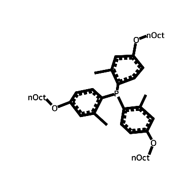 CCCCCCCCOc1ccc(P(c2ccc(OCCCCCCCC)cc2C)c2ccc(OCCCCCCCC)cc2C)c(C)c1